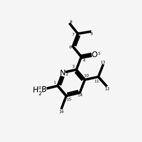 Bc1nc(C(=O)C=C(C)C)c(C(C)C)cc1C